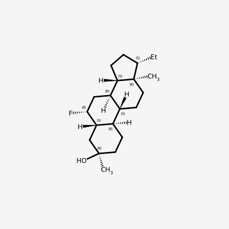 CC[C@H]1CC[C@H]2[C@@H]3C[C@@H](F)[C@H]4C[C@](C)(O)CC[C@@H]4[C@H]3CC[C@]12C